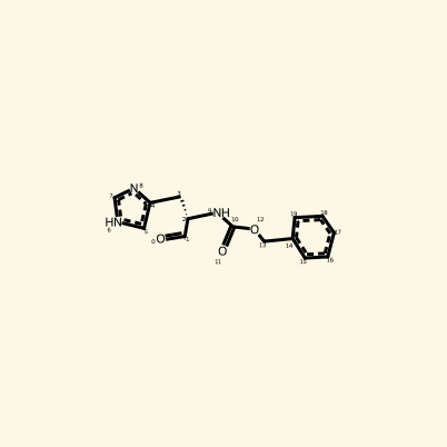 O=[C][C@H](Cc1c[nH]cn1)NC(=O)OCc1ccccc1